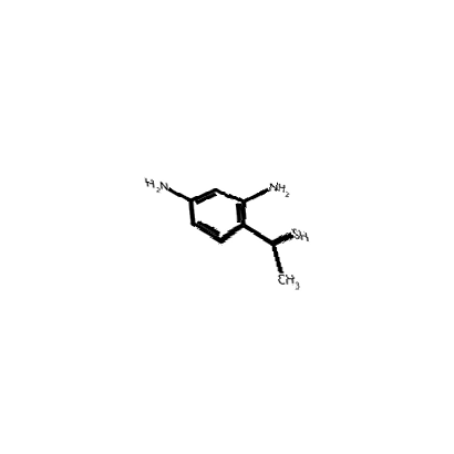 CC(S)c1ccc(N)cc1N